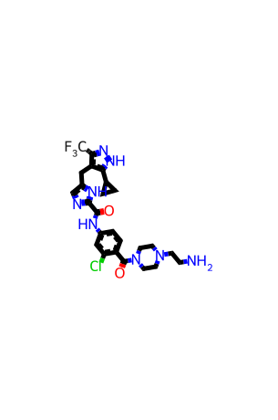 NCCN1CCN(C(=O)c2ccc(NC(=O)c3ncc(Cc4c(C(F)(F)F)n[nH]c4C4CC4)[nH]3)cc2Cl)CC1